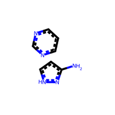 Nc1cc[nH]n1.c1cncnc1